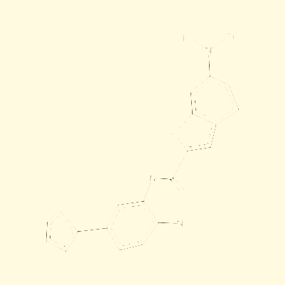 CCN(CC)c1ccc2cc(C(=O)Nc3cc(-c4cccs4)ccc3N)oc2c1